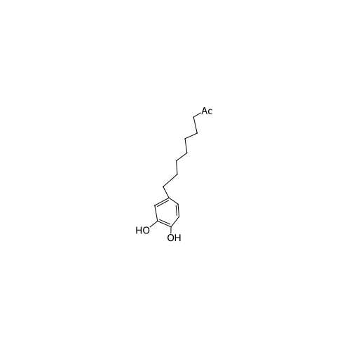 CC(=O)CCCCCCCc1ccc(O)c(O)c1